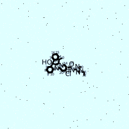 CCc1c(C(O)(c2ccccc2)c2ccccc2)nc2cc(Cl)c(C(=O)Nc3ncn(CC)n3)cn12